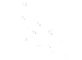 Cn1c(-c2nc3sc(C(F)(F)F)cn3c2Br)nc2cc(C(F)(F)F)ncc21